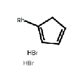 Br.Br.[Rh][C]1=CC=CC1